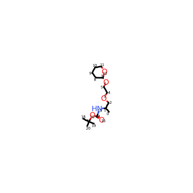 CC(COCCO[C@H]1CCCCO1)NC(=O)OC(C)(C)C